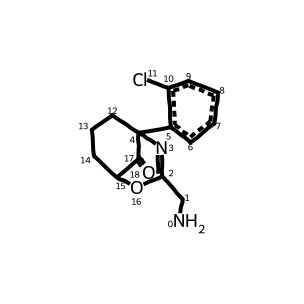 NCC1=NC2(c3ccccc3Cl)CCCC(O1)C2=O